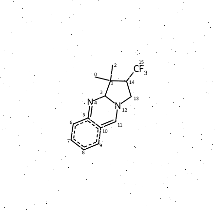 CC1(C)C2N=c3ccccc3=CN2CC1C(F)(F)F